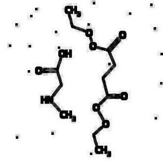 CCOOC(=O)CCC(=O)OOCC.CNCC(=O)O